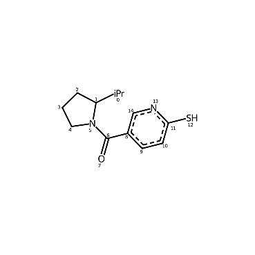 CC(C)C1CCCN1C(=O)c1ccc(S)nc1